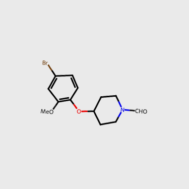 COc1cc(Br)ccc1OC1CCN(C=O)CC1